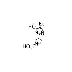 CCc1cnc(C2CCN(C(=O)O)C2)nc1O